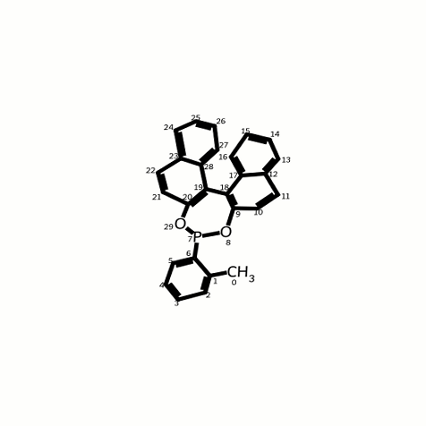 Cc1ccccc1-p1oc2ccc3ccccc3c2c2c(ccc3ccccc32)o1